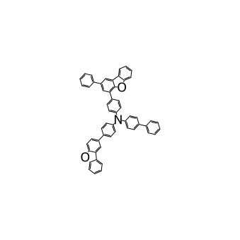 c1ccc(-c2ccc(N(c3ccc(-c4ccc5oc6ccccc6c5c4)cc3)c3ccc(-c4cc(-c5ccccc5)cc5c4oc4ccccc45)cc3)cc2)cc1